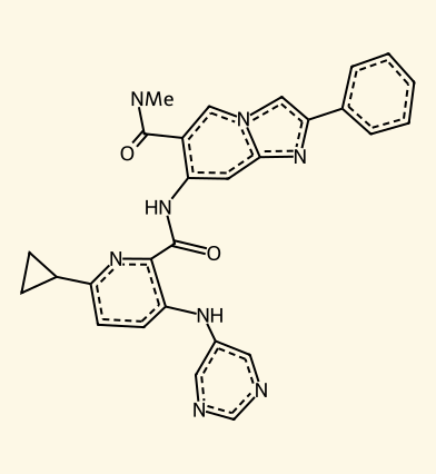 CNC(=O)c1cn2cc(-c3ccccc3)nc2cc1NC(=O)c1nc(C2CC2)ccc1Nc1cncnc1